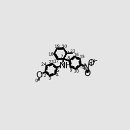 COc1ccc(NC2(c3ccc([N+](=O)[O-])cc3)C=CC=CC2C)cc1